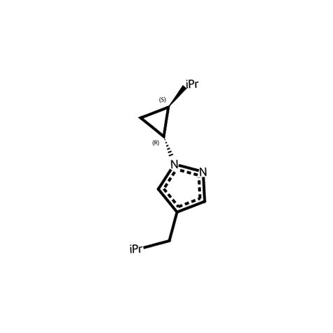 CC(C)Cc1cnn([C@@H]2C[C@H]2C(C)C)c1